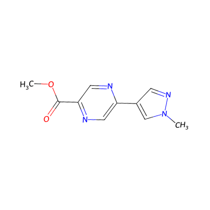 COC(=O)c1cnc(-c2cnn(C)c2)cn1